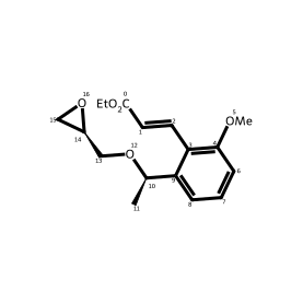 CCOC(=O)/C=C/c1c(OC)cccc1[C@@H](C)OC[C@H]1CO1